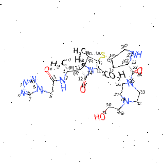 C[C@@H](NC(=O)Cn1cnnn1)[C@H]1C(=O)N2C(C(=O)O)=C(S[C@@H]3CN[C@H](C(=O)N4CCN(CCO)CC4)C3)[C@H](C)[C@H]12